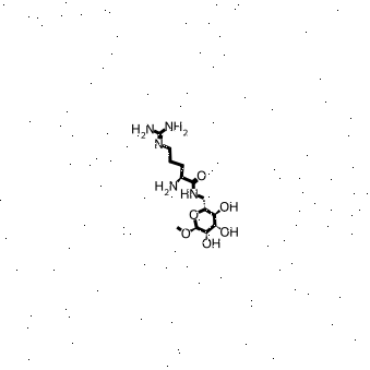 CO[C@H]1O[C@H](CNC(=O)[C@@H](N)CCCN=C(N)N)[C@@H](O)[C@H](O)[C@@H]1O